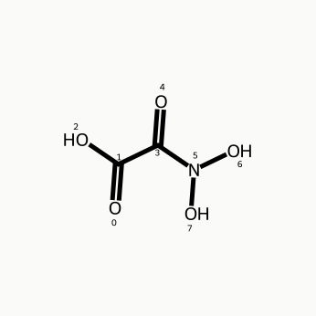 O=C(O)C(=O)N(O)O